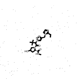 CCc1nccn1Cc1cn(C(C(=O)N2CC(O)C[C@@H]2C(=O)NC)C(C)(C)C)nn1